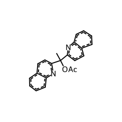 CC(=O)OC(C)(c1ccc2ccccc2n1)c1ccc2ccccc2n1